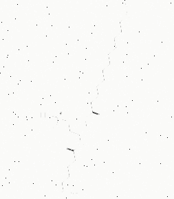 CCCCCCCCCCCCCCC(=O)O[C@@H](COC(=O)CCCCCCCCCCCSC(C)=O)COP(=O)(O)O